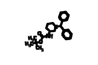 CC(C)(C)OC(=O)N[C@H]1CCCN(C(c2ccccc2)c2ccccc2)C1